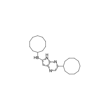 B(c1cc2ncc(C3CCCCCCCCC3)nc2[nH]1)C1CCCCCCCCC1